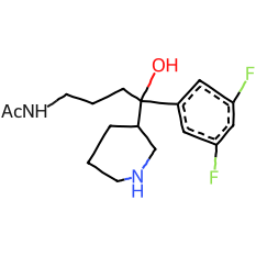 CC(=O)NCCCC(O)(c1cc(F)cc(F)c1)C1CCCNC1